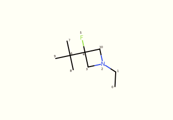 CCN1CC(F)(C(C)(C)C)C1